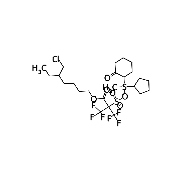 CCC(CCl)CCCCOC(=O)C(C(F)(F)F)(C(F)(F)F)S(=O)(=O)OS(C)(C1CCCC1)C1CCCCC1=O